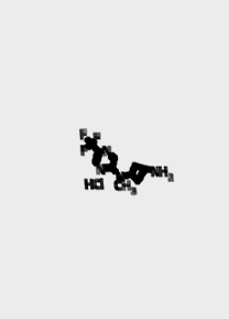 CN(c1cnc(C(F)(F)F)cn1)C1CC(N)C1.Cl